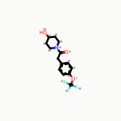 O=C(Cc1ccc(OC(F)(F)F)cc1)N1CCC(O)CC1